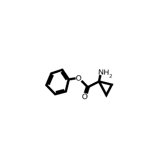 NC1(C(=O)Oc2ccccc2)CC1